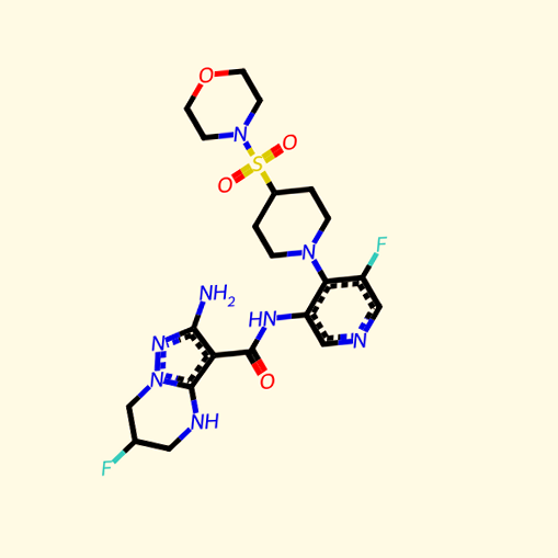 Nc1nn2c(c1C(=O)Nc1cncc(F)c1N1CCC(S(=O)(=O)N3CCOCC3)CC1)NCC(F)C2